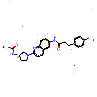 CC(C)(C)C(=O)N[C@@H]1CCN(c2ccc3cc(NC(=O)CCc4ccc(C(F)(F)F)cc4)ccc3n2)C1